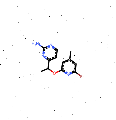 Cc1cc(Br)nc(OC(C)c2ccnc(N)n2)c1